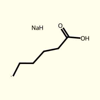 [CH2]CCCCC(=O)O.[NaH]